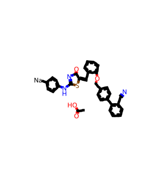 CC(=O)O.N#Cc1ccccc1-c1ccc(COc2ccccc2C=C2SC(Nc3cc[c]([Na])cc3)=NC2=O)cc1